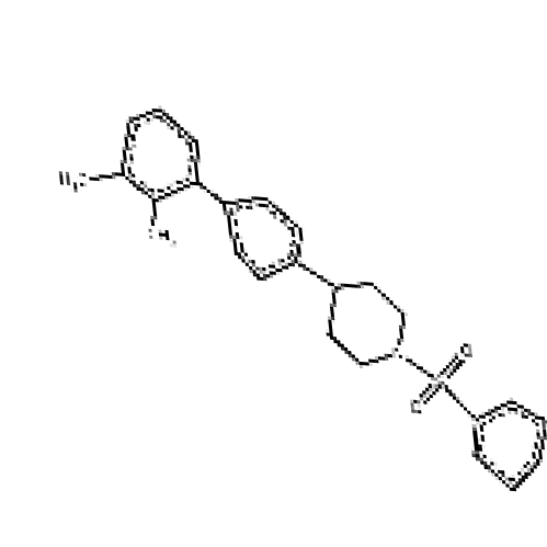 Cc1cccc(-c2ccc(C3CCN(S(=O)(=O)c4cccnc4)CC3)cc2)c1C